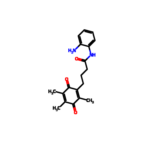 CC1=C(C)C(=O)C(CCCC(=O)Nc2ccccc2N)=C(C)C1=O